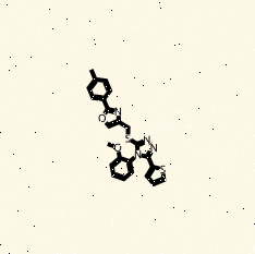 COc1ccccc1-n1c(SCc2coc(-c3ccc(C)cc3)n2)nnc1-c1cccs1